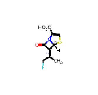 C/C(CF)=C1/C(=O)N2C(C(=O)O)=CS[C@H]12